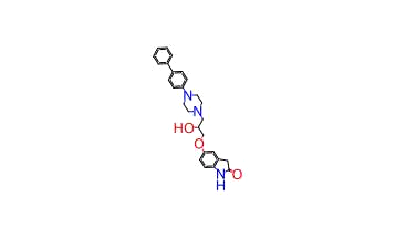 O=C1Cc2cc(OC[C@@H](O)CN3CCN(c4ccc(-c5ccccc5)cc4)CC3)ccc2N1